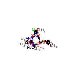 CC[Si](CC)(CC)OCC1(C)CNC(=O)[C@@H](Cc2ccc(OC)c(Cl)c2)NC(=O)/C=C/C[C@@H]([C@H](C)COCc2ccc(OC)cc2)OC(=O)[C@H](CC(C)(C)C)NC1=O